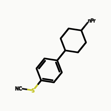 CCCC1CCC(c2ccc(SC#N)cc2)CC1